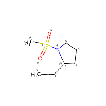 CC[C@H]1CCCN1S(C)(=O)=O